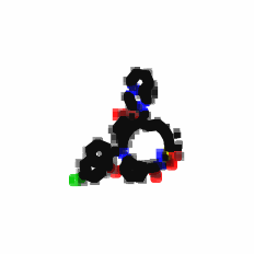 C[C@@H]1[C@@H](C)C/C=C/[C@@](CN2CCN3CCCC[C@@H]3C2)(OO)[C@@H]2CC[C@H]2CN2C[C@@]3(CCCc4cc(Cl)ccc43)COc3ccc(cc32)C(=O)NS1(=O)=O